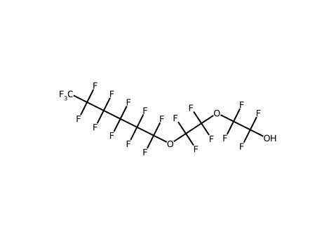 OC(F)(F)C(F)(F)OC(F)(F)C(F)(F)OC(F)(F)C(F)(F)C(F)(F)C(F)(F)C(F)(F)C(F)(F)F